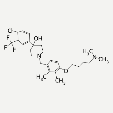 Cc1c(CN2CCC(O)(c3ccc(Cl)c(C(F)(F)F)c3)CC2)ccc(OCCCCN(C)C)c1C